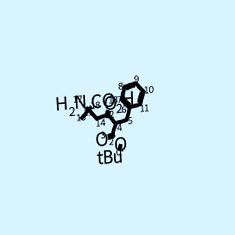 CC(C)(C)OC(=O)C(Cc1ccccc1)C(=O)CC(C)(N)C(=O)O